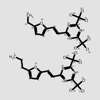 CCCc1ccc(C=Cc2nc(C(Cl)(Cl)Cl)nc(C(Cl)(Cl)Cl)n2)o1.CCc1ccc(C=Cc2nc(C(Cl)(Cl)Cl)nc(C(Cl)(Cl)Cl)n2)o1